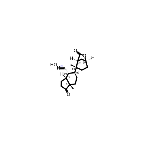 C[C@]1([C@H]2CC[C@]3(C)C(=O)CC[C@H]3[C@@H]2/C=N/O)CC[C@H]2C[C@@H]1C(=O)O2